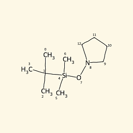 CC(C)(C)[Si](C)(C)ON1CCCC1